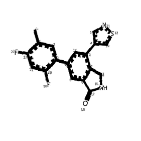 Cc1cc(-c2cc3c(c(-c4cnsc4)c2)CNC3=O)c(F)cc1F